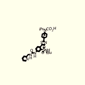 CC(C)N(C(=O)O)C12CCC(c3ncc(-c4ccc(NC(=O)NCc5ccccn5)cc4S(=O)(=O)NC(C)(C)C)s3)(CC1)CC2